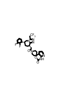 O=C1Nc2ncccc2C2(CCN(C(=O)C[C@H]3CC[C@@H](c4cccc(F)c4F)Cn4c(CC(F)(F)F)nnc43)CC2)O1